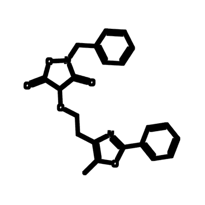 Cc1oc(-c2ccccc2)nc1CCOC1C(=O)ON(Cc2ccccc2)C1=O